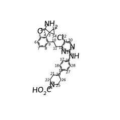 NC(=O)C1(c2ccccc2CCc2nc(Nc3ccc(C4CCN(C(=O)O)CC4)cc3)ncc2Cl)CC1